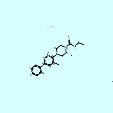 CCOC(=O)N1CCN(c2nnc(-c3ccccc3)cc2C)CC1